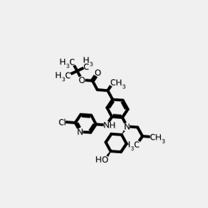 CC(C)CN(c1ccc(C(C)CC(=O)OC(C)(C)C)cc1Nc1ccc(Cl)nc1)[C@H]1CC[C@H](O)CC1